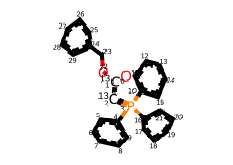 O=[13C]([13CH]=P(c1ccccc1)(c1ccccc1)c1ccccc1)OCc1ccccc1